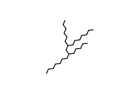 CCCCCCCC(CCCCC)CC(CCCCCC)CCCCCCC